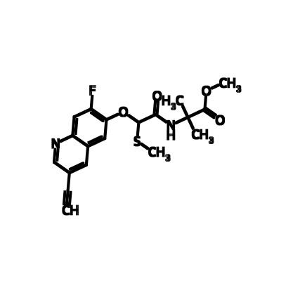 C#Cc1cnc2cc(F)c(OC(SC)C(=O)NC(C)(C)C(=O)OC)cc2c1